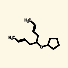 CC=CCC(CC=CC)OC1CCCC1